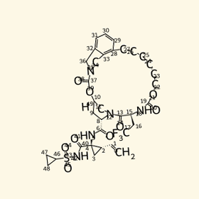 C=C[C@@H]1C[C@]1(NC(=O)[C@@H]1C[C@@H]2CN1C(=O)[C@H](CC(F)(F)F)NC(=O)OCCCCCCc1cccc3c1CN(C3)C(=O)O2)C(=O)NS(=O)(=O)C1CC1